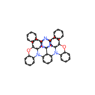 c1ccc(-c2nc(-c3ccccc3)nc(-c3c(N4c5ccccc5Oc5ccccc54)cccc3N3c4ccccc4Oc4ccccc43)n2)cc1